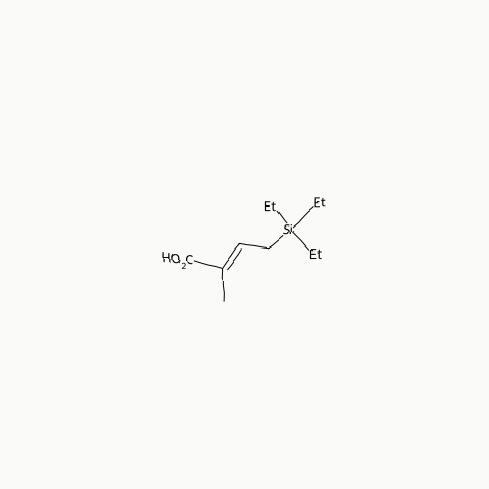 CC[Si](CC)(CC)CC=C(C)C(=O)O